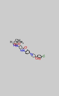 CC(C)(C)S(=O)(=O)NC1CCC(C(=O)Nc2ccc(N3CCC(O)(c4ccc(Cl)cc4)CC3)cc2)CC1